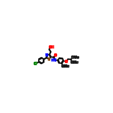 COc1cc(NC(=O)c2sc(-c3ccc(Cl)cc3)nc2CCO)ccc1OCC(OC)OC